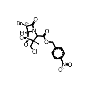 C[C@]1(CCl)C(C(=O)OCc2ccc([N+](=O)[O-])cc2)N2C(=O)[C@H](Br)[C@@H]2S1(=O)=O